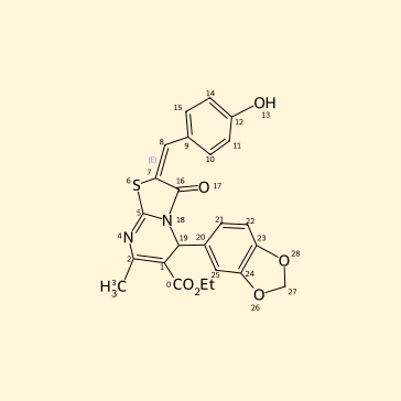 CCOC(=O)C1=C(C)N=c2s/c(=C/c3ccc(O)cc3)c(=O)n2C1c1ccc2c(c1)OCO2